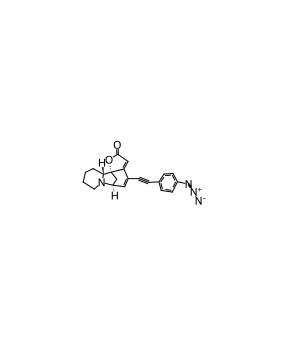 [N-]=[N+]=Nc1ccc(C#CC2=C[C@@H]3C[C@@]4(OC(=O)C=C24)[C@H]2CCCCN32)cc1